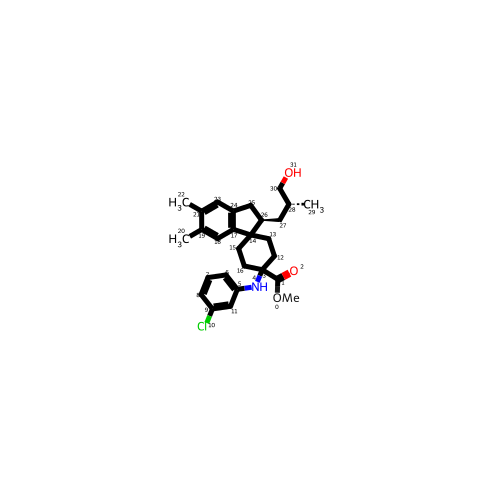 COC(=O)C1(Nc2cccc(Cl)c2)CCC2(CC1)c1cc(C)c(C)cc1C[C@H]2C[C@@H](C)CO